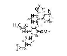 C=CC(=O)Nc1cc(Nc2cc(N3OCC[C@@H]3c3ccc(F)cc3F)ncn2)c(OC)cc1N1CCN(CC2CC2)CC1